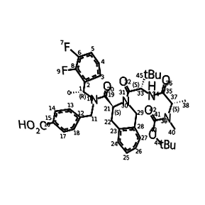 C[C@H](c1cccc(F)c1F)N(Cc1ccc(C(=O)O)cc1)C(=O)[C@@H]1Cc2ccccc2CN1C(=O)[C@@H](NC(=O)[C@H](C)N(C)C(=O)OC(C)(C)C)C(C)(C)C